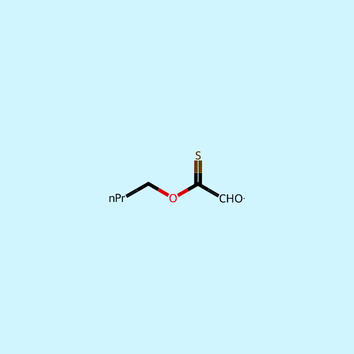 CCCCOC(=S)[C]=O